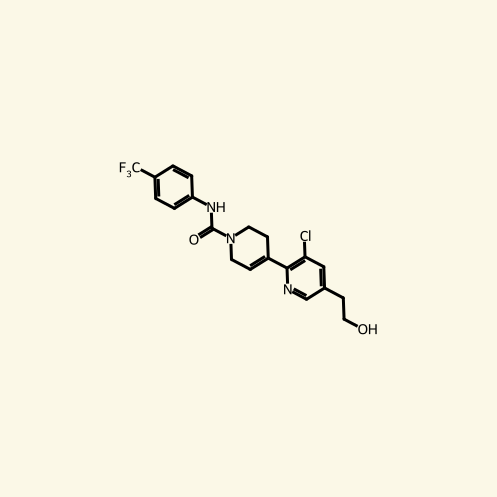 O=C(Nc1ccc(C(F)(F)F)cc1)N1CC=C(c2ncc(CCO)cc2Cl)CC1